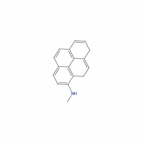 CNc1ccc2ccc3c4c2c1CC=C4CC=C3